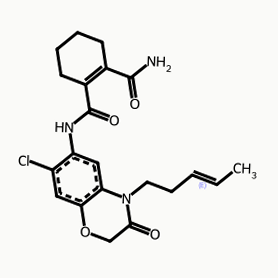 C/C=C/CCN1C(=O)COc2cc(Cl)c(NC(=O)C3=C(C(N)=O)CCCC3)cc21